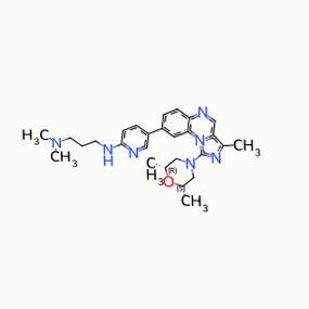 Cc1nc(N2C[C@@H](C)O[C@@H](C)C2)n2c1cnc1ccc(-c3ccc(NCCCN(C)C)nc3)cc12